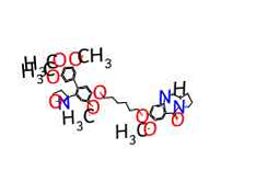 COc1cc2c(cc1OCCCCCCOc1cc(-c3cc(OC)c(OC)c(OC)c3)c(C3=NOCC3)cc1OC)N=C[C@@H]1CCCN1C2=O